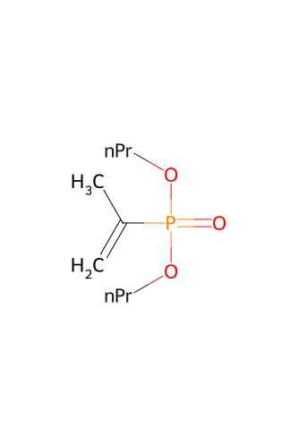 C=C(C)P(=O)(OCCC)OCCC